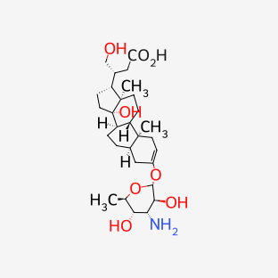 C[C@H]1O[C@H](OC2=CC[C@@]3(C)[C@H](CC[C@@H]4[C@@H]3CC[C@]3(C)[C@@H]([C@H](CO)CC(=O)O)CC[C@]43O)C2)[C@@H](O)[C@H](N)[C@@H]1O